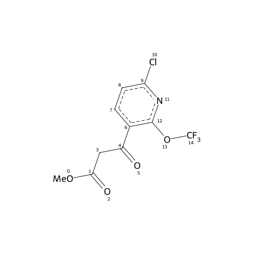 COC(=O)CC(=O)c1ccc(Cl)nc1OC(F)(F)F